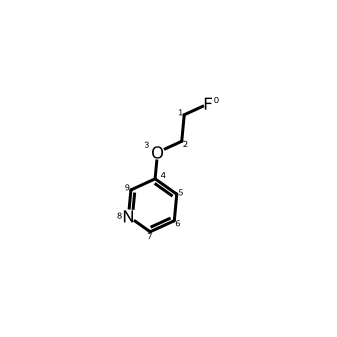 FCCOc1cccnc1